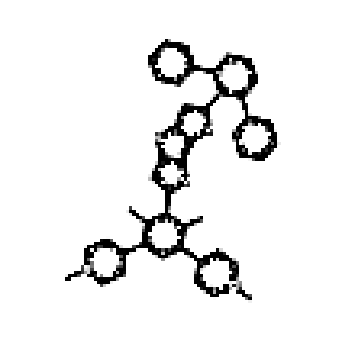 Cc1c(-c2cc[n+](C)cc2)cc(-c2cc[n+](C)cc2)c(C)c1-c1cc2sc3cc(-c4c(-c5ccccc5)cccc4-c4ccccc4)sc3c2s1